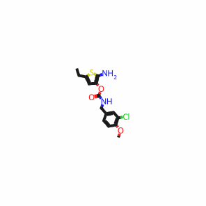 CCc1cc(OC(=O)NCc2ccc(OC)c(Cl)c2)c(N)s1